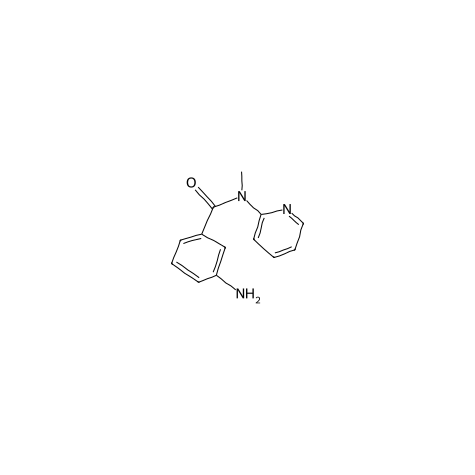 CN(C(=O)c1cccc(N)c1)c1ccccn1